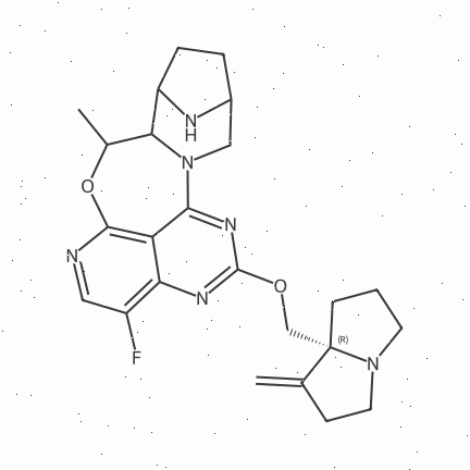 C=C1CCN2CCC[C@]12COc1nc2c3c(ncc(F)c3n1)OC(C)C1C3CCC(CN21)N3